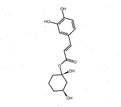 O=C(/C=C/c1ccc(O)c(O)c1)O[C@@]1(O)CCC[C@H](O)C1